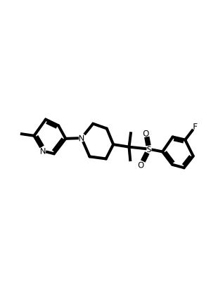 Cc1ccc(N2CCC(C(C)(C)S(=O)(=O)c3cccc(F)c3)CC2)cn1